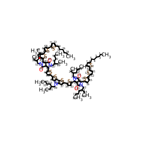 CCCCCCc1ccc(-c2ccc(-c3ccc(C4=C5C(=O)N(CC(CC)CCCC)C(c6ccc(C7=CC8C(S7)c7sc(-c9ccc(C%10=C%11C(=O)N(CC(CC)CCCC)C(c%12ccc(-c%13ccc(-c%14ccc(CCCCCC)s%14)s%13)s%12)=C%11C(=O)N%10CC(CC)CCCC)s9)cc7N8CC(CC)CCCC)s6)=C5C(=O)N4CC(CC)CCCC)s3)s2)s1